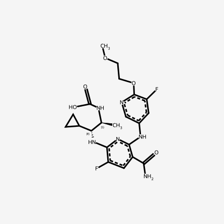 COCCOc1ncc(Nc2nc(N[C@H](C3CC3)[C@H](C)NC(=O)O)c(F)cc2C(N)=O)cc1F